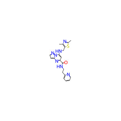 Cc1nc(C)c(CNc2cc(C(=O)NCCc3ccccn3)nc3ccnn23)s1